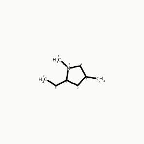 CCC1CC(C)CN1C